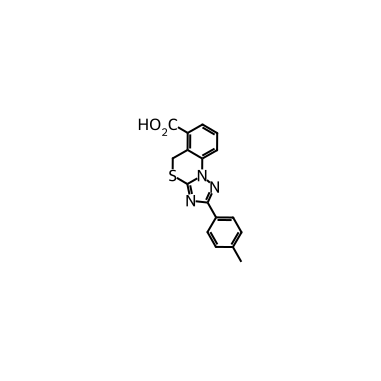 Cc1ccc(-c2nc3n(n2)-c2cccc(C(=O)O)c2CS3)cc1